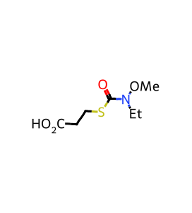 CCN(OC)C(=O)SCCC(=O)O